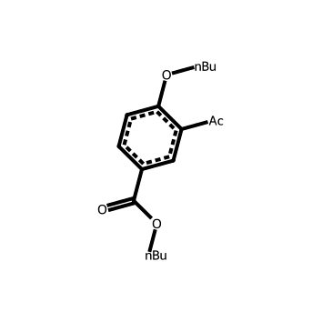 CCCCOC(=O)c1ccc(OCCCC)c(C(C)=O)c1